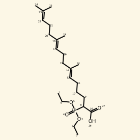 CCOP(=O)(OCC)C(CCC/C=C(\C)CC/C=C(\C)CCC=C(C)C)C(=O)O